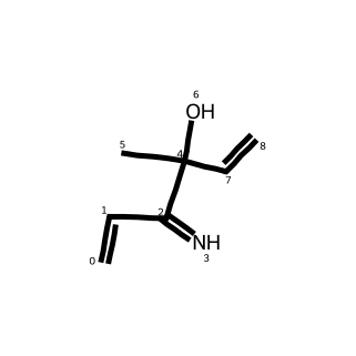 C=CC(=N)C(C)(O)C=C